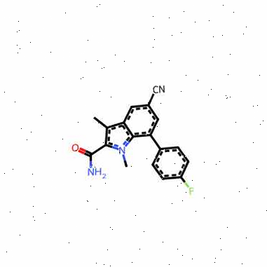 Cc1c(C(N)=O)n(C)c2c(-c3ccc(F)cc3)cc(C#N)cc12